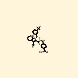 C[C@H](NC(=O)c1c(C#N)c2c(n1Cc1cccc(C(F)(F)F)c1)NCCC2)c1ccc(C(=O)O)cc1